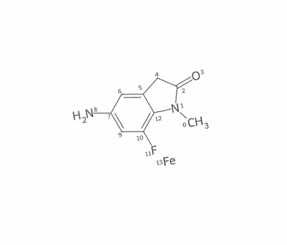 CN1C(=O)Cc2cc(N)cc(F)c21.[Fe]